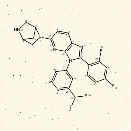 Fc1ccc(-c2nc3ccc(N4CC5CC4CN5)nc3n2-c2ccnc(C(F)F)c2)c(F)c1